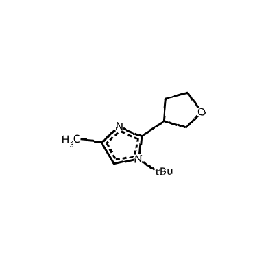 Cc1cn(C(C)(C)C)c(C2CCOC2)n1